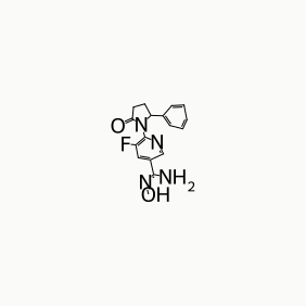 N/C(=N\O)c1cnc(N2C(=O)CCC2c2ccccc2)c(F)c1